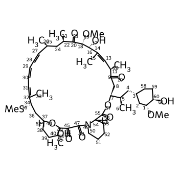 CO[C@@H]1C[C@H](C[C@@H](C)[C@@H]2CC(=O)[C@H](C)/C=C(\C)[C@@H](O)[C@@H](OC)C(=O)[C@H](C)C[C@H](C)/C=C/C=C/C=C(\C)[C@@H](SC)C[C@@H]3CC[C@@H](C)[C@@](O)(O3)C(=O)C(=O)N3CCCC[C@H]3C(=O)O2)CC[C@H]1O